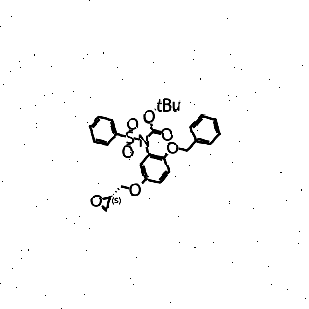 CC(C)(C)OC(=O)N(c1cc(OC[C@@H]2CO2)ccc1OCc1ccccc1)S(=O)(=O)c1ccccc1